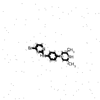 C[C@@H]1CN(c2ccc(Nc3nccc(Br)n3)cc2)C[C@H](C)N1